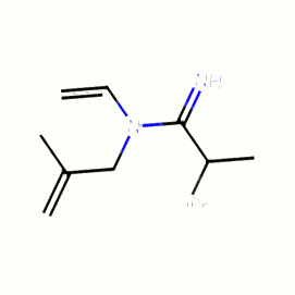 C=CN(CC(=C)C)C(=N)C(C)C(C)C